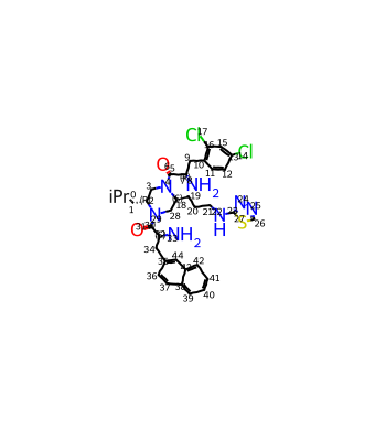 CC(C)C[C@@H]1CN(C(=O)[C@H](N)Cc2ccc(Cl)cc2Cl)[C@@H](CCCNc2nncs2)CN1C(=O)[C@@H](N)Cc1ccc2ccccc2c1